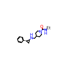 CCNC(=O)N1CCC(CNC2C[C@H]2c2ccccc2)CC1